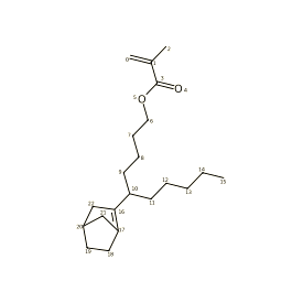 C=C(C)C(=O)OCCCCC(CCCCC)C1=C2CCC(C2)C1